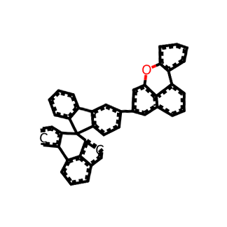 c1ccc2c(c1)Oc1cc(-c3ccc4c(c3)-c3ccccc3C43c4ccccc4-c4cccc5cccc3c45)cc3cccc-2c13